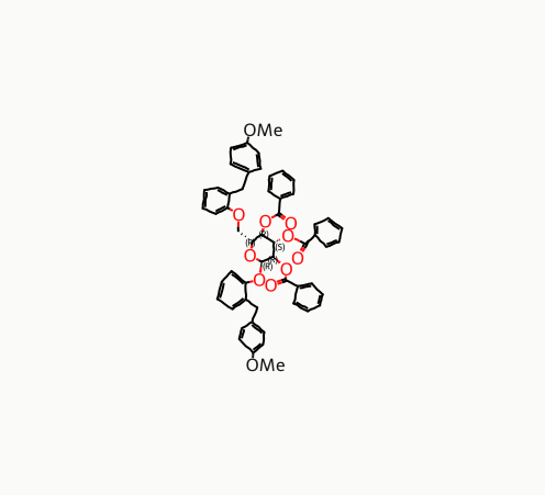 COc1ccc(Cc2ccccc2OC[C@H]2O[C@H](Oc3ccccc3Cc3ccc(OC)cc3)[C@H](OC(=O)c3ccccc3)[C@@H](OC(=O)c3ccccc3)[C@@H]2OC(=O)c2ccccc2)cc1